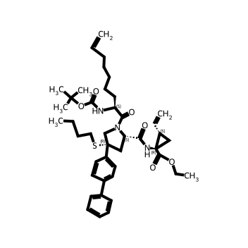 C=CCCCCC[C@H](NC(=O)OC(C)(C)C)C(=O)N1C[C@](SCCCC)(c2ccc(-c3ccccc3)cc2)C[C@H]1C(=O)N[C@]1(C(=O)OCC)C[C@H]1C=C